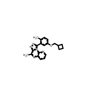 Cc1ccc(OCC2CCC2)cc1-c1nnc2c(C)nc3cccnc3n12